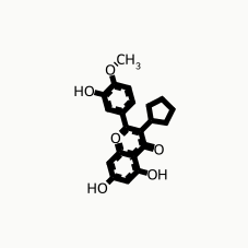 COc1ccc(-c2oc3cc(O)cc(O)c3c(=O)c2C2CCCC2)cc1O